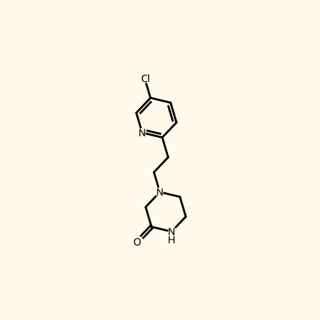 O=C1CN(CCc2ccc(Cl)cn2)CCN1